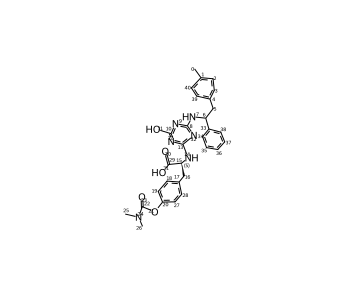 Cc1ccc(CC(Nc2nc(O)nc(N[C@@H](Cc3ccc(OC(=O)N(C)C)cc3)C(=O)O)n2)c2ccccc2)cc1